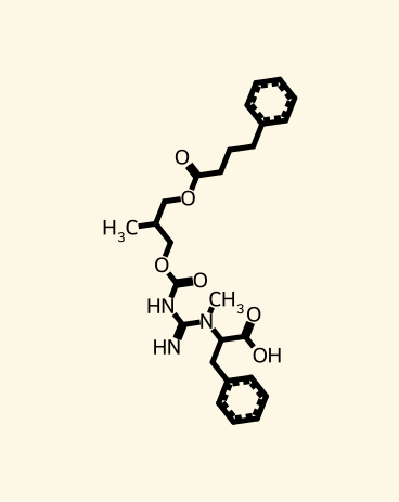 CC(COC(=O)CCCc1ccccc1)COC(=O)NC(=N)N(C)C(Cc1ccccc1)C(=O)O